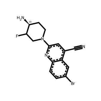 N#Cc1cc(N2CC[C@H](N)C(F)C2)nc2ccc(Br)cc12